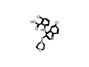 O=C(O)c1c(Cl)cccc1Nc1c(SN2CCOCC2)cnc2ccc(Cl)cc12